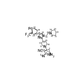 C#CC/C(=C(C#N)\C(N)=N/C)N1CCC(c2nc(-c3ccc(F)c(C(F)(F)F)c3)cn2CCN2CCCCC2)CC1